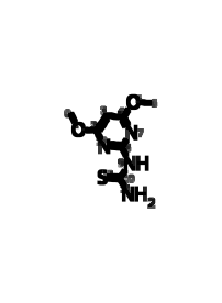 COc1cc(OC)nc(NC(N)=S)n1